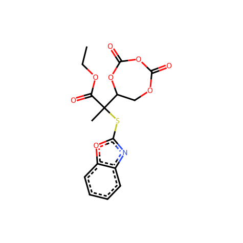 CCOC(=O)C(C)(Sc1nc2ccccc2o1)C1COC(=O)OC(=O)O1